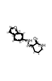 O=C1NCCCC1=NNc1ccc2ccoc2c1